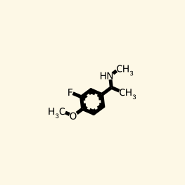 CNC(C)c1ccc(OC)c(F)c1